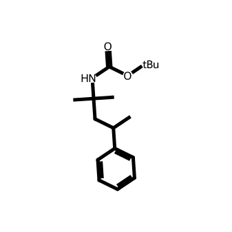 CC(CC(C)(C)NC(=O)OC(C)(C)C)c1ccccc1